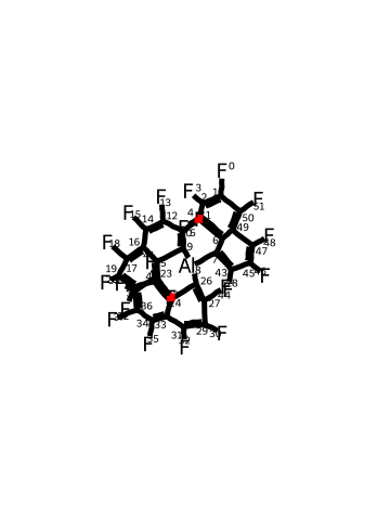 Fc1c(F)c(F)c2[c]([Al]([c]3c(F)c(F)c(F)c4c(F)c(F)c(F)c(F)c34)[c]3c(F)c(F)c(F)c4c(F)c(F)c(F)c(F)c34)c(F)c(F)c(F)c2c1F